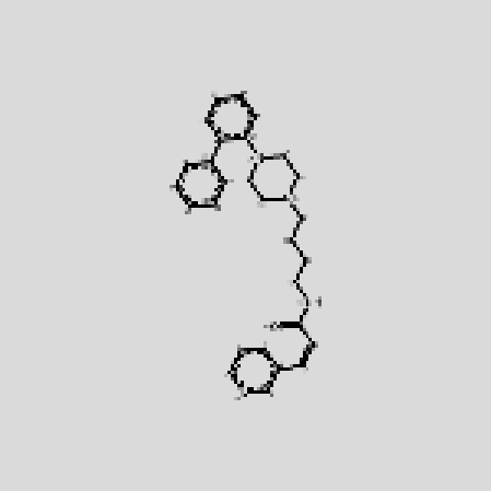 O=C(/C=C\c1cccnc1)NCCCCN1CCN(c2ccccc2-c2ccccc2)CC1